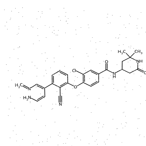 C=N/C=C(\C=C/N)c1cccc(Oc2ccc(C(=O)NC3CC(=O)NC(C)(C)C3)cc2Cl)c1C#N